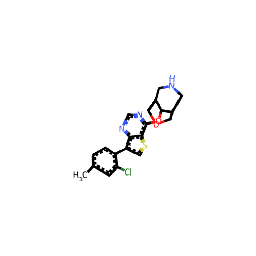 Cc1ccc(-c2csc3c(OC4C5CNCC4COC5)ncnc23)c(Cl)c1